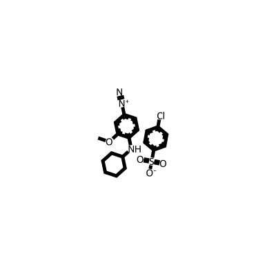 COc1cc([N+]#N)ccc1NC1CCCCC1.O=S(=O)([O-])c1ccc(Cl)cc1